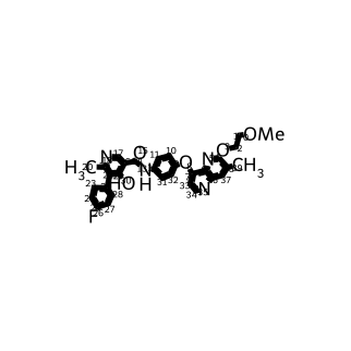 COCCOc1nc2c(Oc3ccc(NC(=O)c4cnc(C)c(-c5ccc(F)cc5)c4O)cc3)ccnc2cc1C